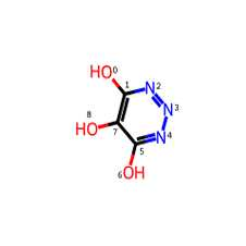 Oc1nnnc(O)c1O